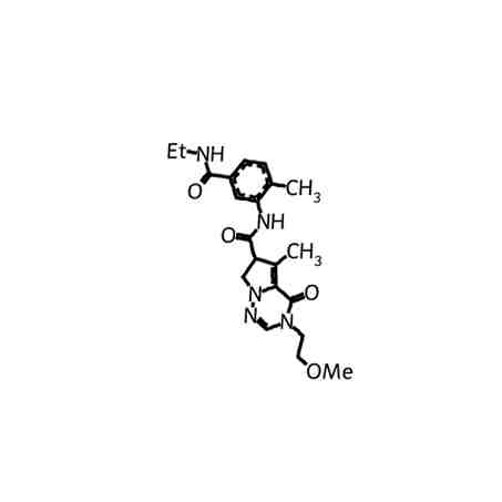 CCNC(=O)c1ccc(C)c(NC(=O)C2CN3N=CN(CCOC)C(=O)C3=C2C)c1